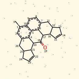 Cc1cc2c3c4c5c(ccc14)CC1CC=CC1C5C(=O)C3C1C=CCC1C2